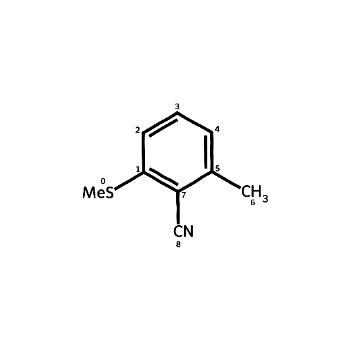 CSc1cccc(C)c1C#N